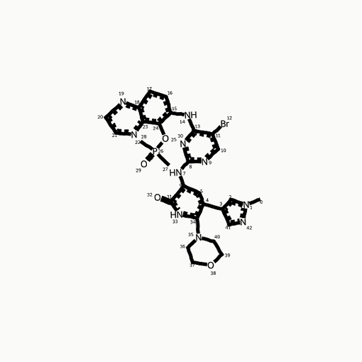 Cn1cc(-c2cc(Nc3ncc(Br)c(Nc4ccc5nccnc5c4OP(C)(C)=O)n3)c(=O)[nH]c2N2CCOCC2)cn1